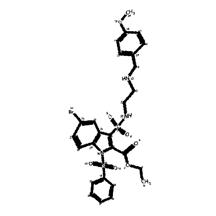 CCOC(=O)c1c(S(=O)(=O)NCCNCc2ccc(OC)cc2)c2cc(Br)ccc2n1S(=O)(=O)c1ccccc1